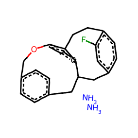 Fc1cc2ccc1CCc1c3cccc1C(Cc1ccc(cc1)CO3)C2.N.N